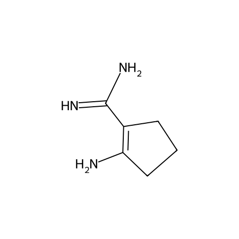 N=C(N)C1=C(N)CCC1